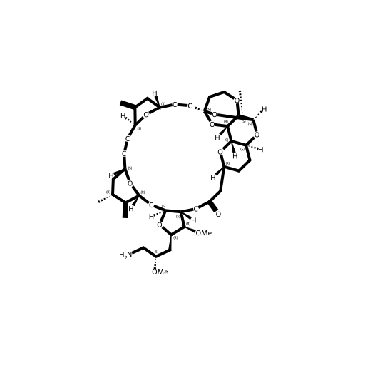 C=C1C[C@@H]2CC[C@@]34CCOC5[C@@H](O3)[C@H]3O[C@H](CC[C@@H]3O[C@H]5[C@H](C)O4)CC(=O)C[C@@H]3[C@@H](OC)[C@@H](C[C@@H](CN)OC)O[C@H]3C[C@H]3O[C@@H](CC[C@@H]1O2)C[C@@H](C)C3=C